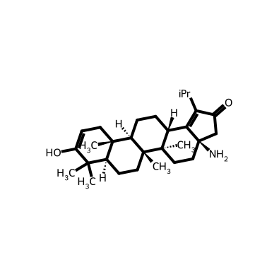 CC(C)C1=C2[C@H]3CC[C@@H]4[C@@]5(C)CC=C(O)C(C)(C)[C@@H]5CC[C@@]4(C)[C@]3(C)CC[C@@]2(N)CC1=O